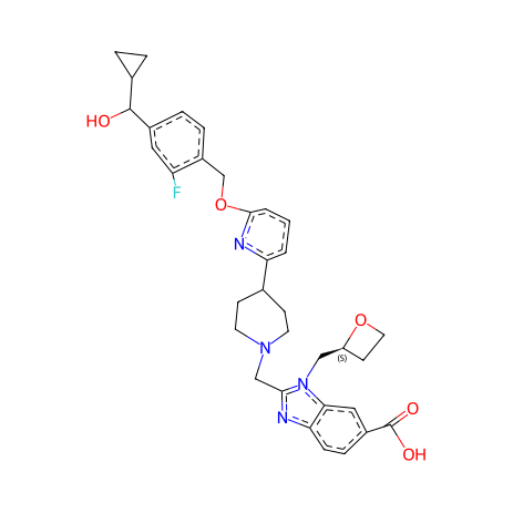 O=C(O)c1ccc2nc(CN3CCC(c4cccc(OCc5ccc(C(O)C6CC6)cc5F)n4)CC3)n(C[C@@H]3CCO3)c2c1